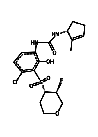 CC1=CCC[C@H]1NC(=O)Nc1ccc(Cl)c(S(=O)(=O)[C@H]2CCOC[C@@H]2F)c1O